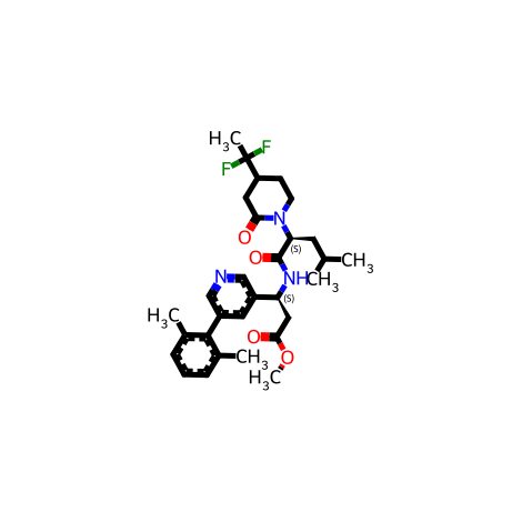 COC(=O)C[C@H](NC(=O)[C@H](CC(C)C)N1CCC(C(C)(F)F)CC1=O)c1cncc(-c2c(C)cccc2C)c1